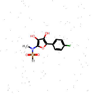 CCS(=O)(=O)N(C)c1oc(-c2ccc(F)cc2)c(O)c1O